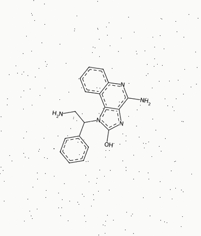 NCC(c1ccccc1)n1c(O)nc2c(N)nc3ccccc3c21